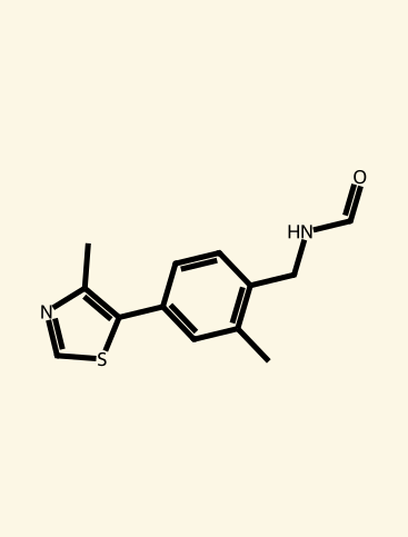 Cc1cc(-c2scnc2C)ccc1CNC=O